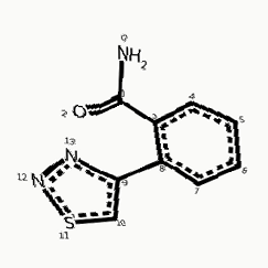 NC(=O)c1ccccc1-c1csnn1